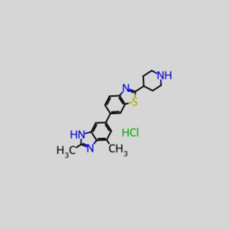 Cc1nc2c(C)cc(-c3ccc4nc(C5CCNCC5)sc4c3)cc2[nH]1.Cl